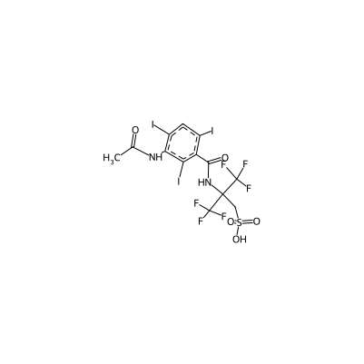 CC(=O)Nc1c(I)cc(I)c(C(=O)NC(CS(=O)(=O)O)(C(F)(F)F)C(F)(F)F)c1I